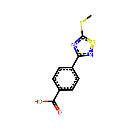 CSc1nc(-c2ccc(C(=O)O)cc2)ns1